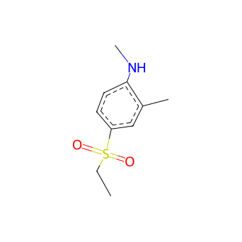 CCS(=O)(=O)c1ccc(NC)c(C)c1